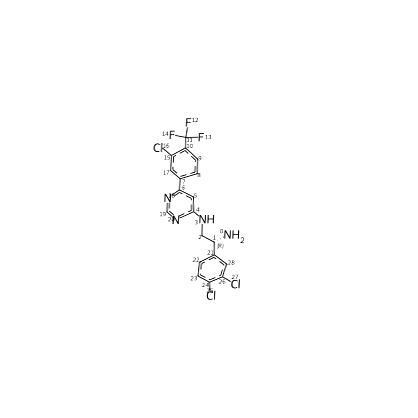 N[C@@H](CNc1cc(-c2ccc(C(F)(F)F)c(Cl)c2)ncn1)c1ccc(Cl)c(Cl)c1